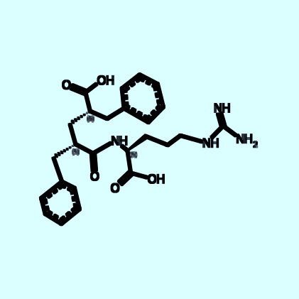 N=C(N)NCCC[C@H](NC(=O)[C@H](Cc1ccccc1)C[C@@H](Cc1ccccc1)C(=O)O)C(=O)O